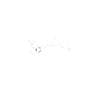 COC(=O)[C@@H](C)CCN(CCCCc1ccc2c(n1)N(C(=O)OC(C)(C)C)CCC2)CC(F)F